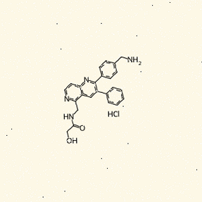 Cl.NCc1ccc(-c2nc3ccnc(CNC(=O)CO)c3cc2-c2ccccc2)cc1